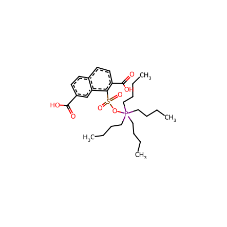 CCCCP(CCCC)(CCCC)(CCCC)OS(=O)(=O)c1c(C(=O)O)ccc2ccc(C(=O)O)cc12